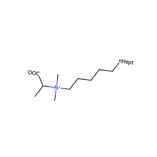 CCCCCCCCCCCC[N+](C)(C)C(C)C(=O)[O-]